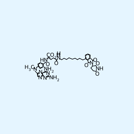 CN(Cc1cnc2nc(N)nc(N)c2n1)c1ccc(C(=O)N[C@@H](CCC(=O)NCCCCCCCCCc2cccc3c2C(=O)N(C2CCC(=O)NC2=O)C3=O)C(=O)O)cc1